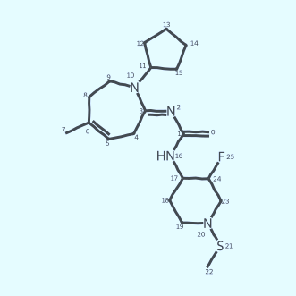 C=C(/N=C1\CC=C(C)CCN1C1CCCC1)NC1CCN(SC)CC1F